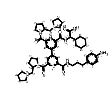 Nc1ccc(CCCNC(=O)c2cc(-c3cc(C(=O)NC(C(=O)O)C4CCCCC4)nc(C(=O)N4CCCC4CN4CCCC4)c3)cc(C(=O)N3CCCC3CN3CCCC3)n2)cc1